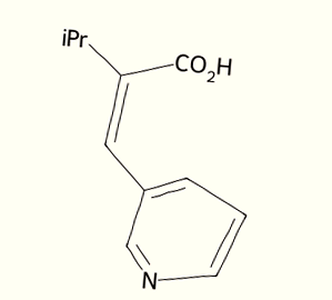 CC(C)C(=Cc1cccnc1)C(=O)O